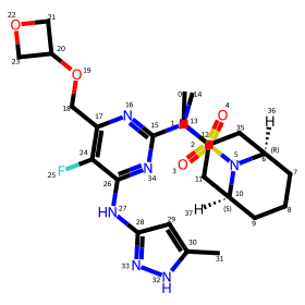 CCS(=O)(=O)N1[C@@H]2CCC[C@H]1CC(N(C)c1nc(COC3COC3)c(F)c(Nc3cc(C)[nH]n3)n1)C2